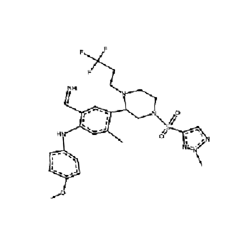 COc1ccc(Nc2cc(C)c(C3CN(S(=O)(=O)c4cnn(C)n4)CCN3CCC(F)(F)F)cc2C=N)cc1